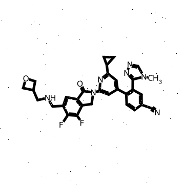 Cn1cnnc1-c1cc(C#N)ccc1-c1cc(C2CC2)nc(N2Cc3c(cc(CNCC4COC4)c(F)c3F)C2=O)c1